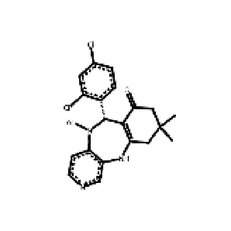 CC(=O)N1c2ccncc2NC2=C(C(=O)CC(C)(C)C2)[C@H]1c1ccc(Cl)cc1Cl